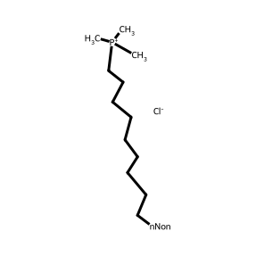 CCCCCCCCCCCCCCCCCC[P+](C)(C)C.[Cl-]